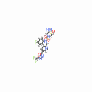 N=S1(=O)C=CN(S(=O)(=O)N(Cc2ccc(-c3nnc(C(F)F)o3)cn2)c2ccc(F)cc2)C=C1